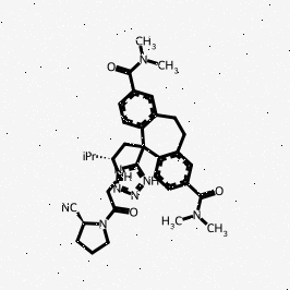 CC(C)[C@H](CC1(c2nnn[nH]2)c2ccc(C(=O)N(C)C)cc2CCc2cc(C(=O)N(C)C)ccc21)NCC(=O)N1CCC[C@H]1C#N